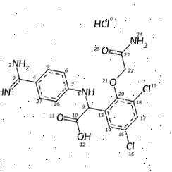 Cl.N=C(N)c1ccc(NC(C(=O)O)c2cc(Cl)cc(Cl)c2OCC(N)=O)cc1